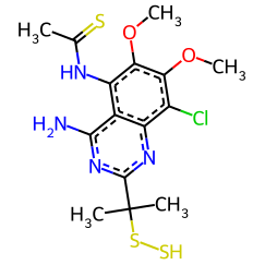 COc1c(OC)c(NC(C)=S)c2c(N)nc(C(C)(C)SS)nc2c1Cl